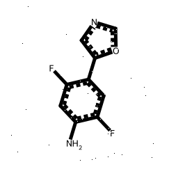 Nc1cc(F)c(-c2cnco2)cc1F